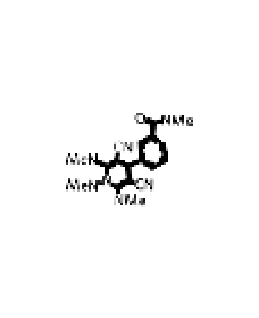 CNC(=O)c1cccc(C2C(C#N)=C(NC)N(NC)C(NC)=C2C#N)c1